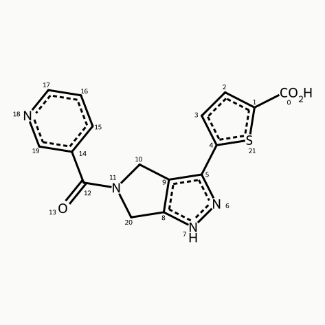 O=C(O)c1ccc(-c2n[nH]c3c2CN(C(=O)c2cccnc2)C3)s1